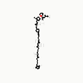 COc1ccc(N(C)c2cc(C#N)nc3ccccc23)cc1CC(=N)C(=O)OCc1ccc(SSCCCNC(=O)CNC(=O)CCCC(=O)CNC(=O)CCCCCN2C(=O)C=CC2=O)cc1